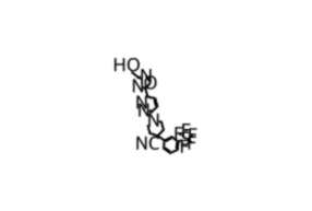 N#CC1(c2cccc(S(F)(F)(F)(F)F)c2)CCN(c2ccc(-c3nc(CO)no3)nn2)CC1